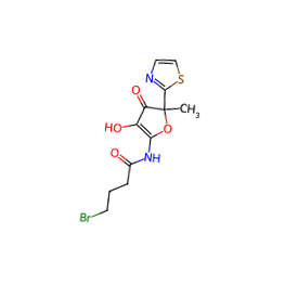 CC1(c2nccs2)OC(NC(=O)CCCBr)=C(O)C1=O